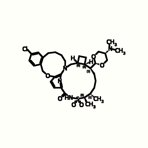 C[C@@H]1[C@@H](C)CCC[C@H]([C@H]2OC[C@@H](N(C)C)CO2)[C@@H]2CC[C@H]2CN2CCCCc3cc(Cl)ccc3COc3ccc(nc32)C(=O)NS1(=O)=O